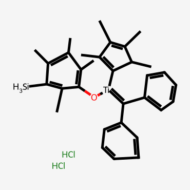 CC1=C(C)C(C)[C]([Ti]([O]c2c(C)c(C)c(C)c([SiH3])c2C)=[C](c2ccccc2)c2ccccc2)=C1C.Cl.Cl